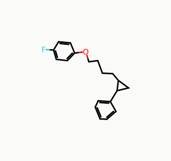 Fc1ccc(OCCCCC2CC2c2ccccc2)cc1